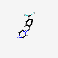 FC(F)c1ccc(CN2CCNCC2)cc1